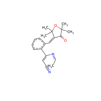 C/C=N\C(=C/C#N)c1ccccc1/C=C1/C(=O)C(C)(C)OC1(C)C